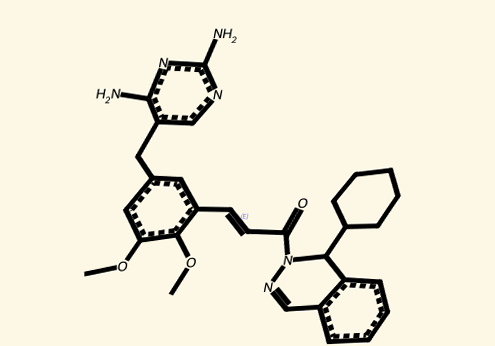 COc1cc(Cc2cnc(N)nc2N)cc(/C=C/C(=O)N2N=Cc3ccccc3C2C2CCCCC2)c1OC